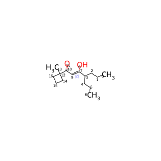 CCCC(CCC)/C(O)=C/C(=O)C1(C)CCC1